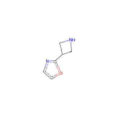 c1coc(C2CNC2)n1